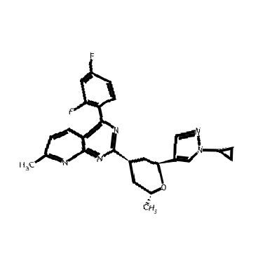 Cc1ccc2c(-c3ccc(F)cc3F)nc([C@@H]3C[C@@H](C)O[C@H](c4cnn(C5CC5)c4)C3)nc2n1